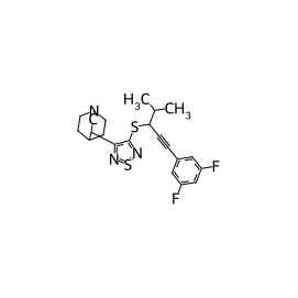 CC(C)C(C#Cc1cc(F)cc(F)c1)Sc1nsnc1C1CN2CCC1CC2